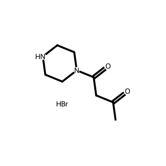 Br.CC(=O)CC(=O)N1CCNCC1